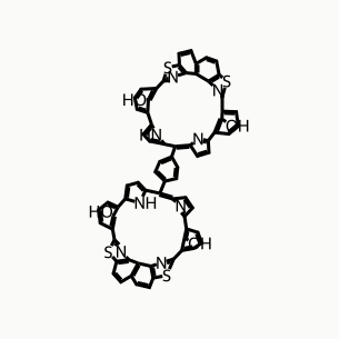 Oc1c2cccc1c1nc3c(ccc4ccc5sc(nc5c43)c3cccc(c3O)c3ccc([nH]3)c(-c3ccc(-c4c5nc(c6cccc(c6O)c6nc7c(ccc8ccc9sc(nc9c87)c7cccc(c7O)c7ccc4[nH]7)s6)C=C5)cc3)c3nc2C=C3)s1